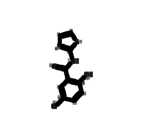 O=C(Nc1nccs1)c1cc(Cl)ccc1O